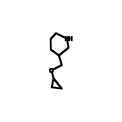 C1CNCC(COC2CC2)C1